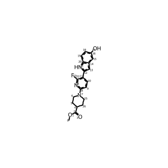 COC(=O)C1CCN(c2ccc(-c3cc4cc(O)ccc4[nH]3)c(F)n2)CC1